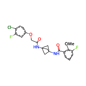 COc1c(F)cccc1C(=O)NC12CC(NC(=O)COc3ccc(Cl)c(F)c3)(C1)C2